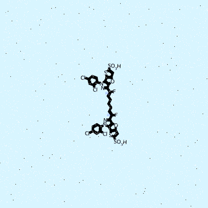 O=S(=O)(O)c1cc2oc3c(/C(F)=C/CCC/C=C(\F)c4nn(-c5ccc(Cl)cc5Cl)c5c4oc4cc(S(=O)(=O)O)sc45)nn(-c4ccc(Cl)cc4Cl)c3c2s1